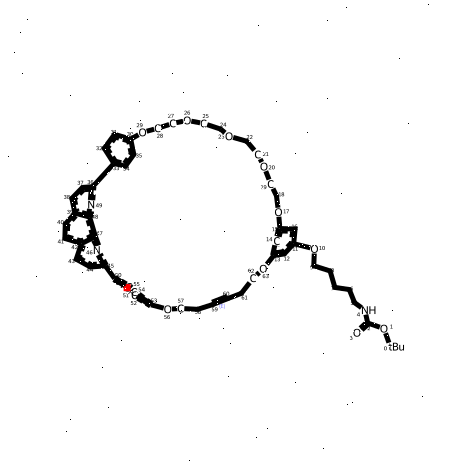 CC(C)(C)OC(=O)NCCCCCOc1cc2cc(c1)OCCOCCOCCOCCOc1ccc(cc1)-c1ccc3ccc4ccc(nc4c3n1)-c1ccc(cc1)OCC/C=C/CCO2